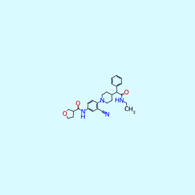 CCNC(=O)C(c1ccccc1)C1CCN(c2ccc(NC(=O)C3CCOC3)cc2C#N)CC1